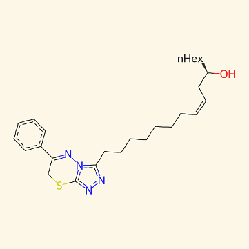 CCCCCC[C@@H](O)C/C=C\CCCCCCCc1nnc2n1N=C(c1ccccc1)CS2